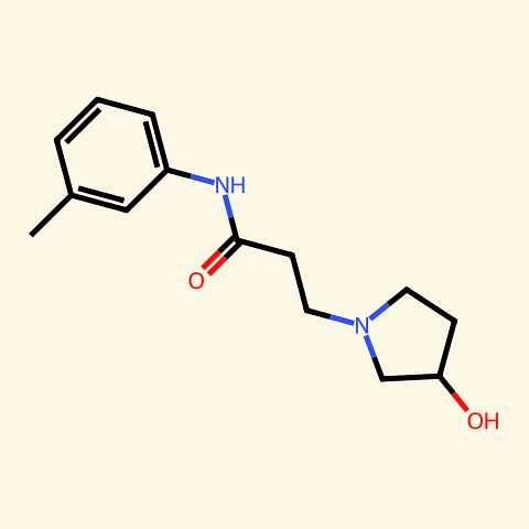 Cc1cccc(NC(=O)CCN2CCC(O)C2)c1